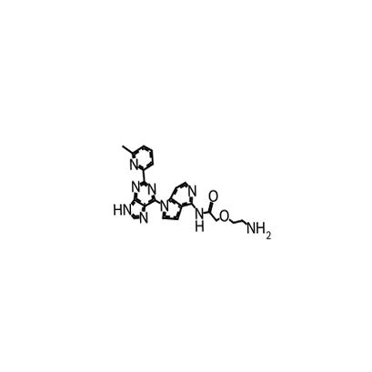 Cc1cccc(-c2nc(-n3ccc4c(NC(=O)COCCN)nccc43)c3nc[nH]c3n2)n1